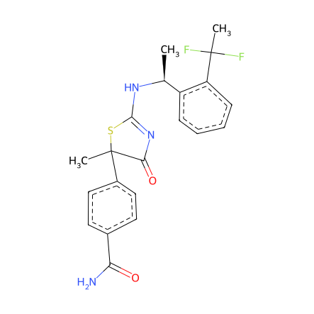 C[C@H](NC1=NC(=O)C(C)(c2ccc(C(N)=O)cc2)S1)c1ccccc1C(C)(F)F